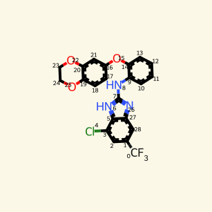 FC(F)(F)c1cc(Cl)c2[nH]c(Nc3ccccc3Oc3ccc4c(c3)OCCO4)nc2c1